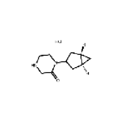 Cl.O=C1CNCCN1C1C[C@@H]2C[C@H]2C1